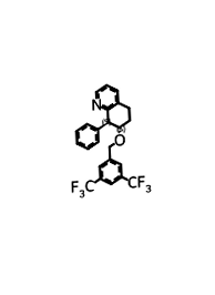 FC(F)(F)c1cc(CO[C@H]2CCc3cccnc3[C@@H]2c2ccccc2)cc(C(F)(F)F)c1